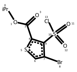 CC(C)OC(=O)c1scc(Br)c1S(=O)(=O)Cl